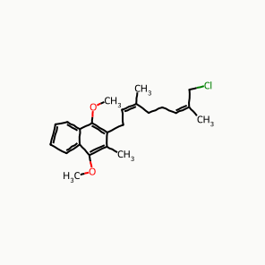 COc1c(C)c(CC=C(C)CCC=C(C)CCl)c(OC)c2ccccc12